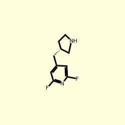 Fc1cc(C[C@@H]2CCNC2)cc(F)n1